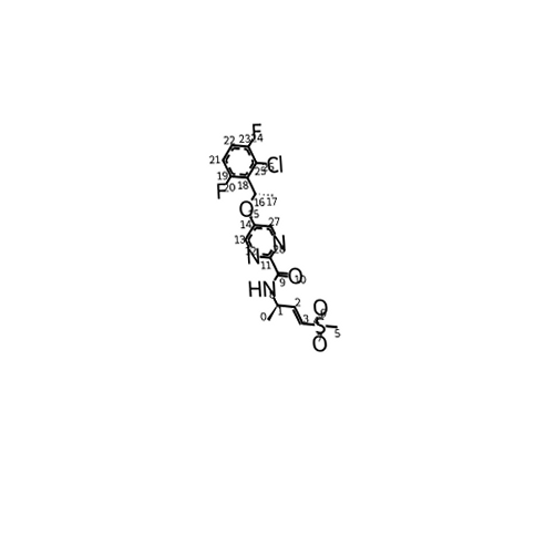 C[C@H](/C=C/S(C)(=O)=O)NC(=O)c1ncc(O[C@@H](C)c2c(F)ccc(F)c2Cl)cn1